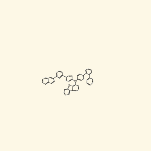 c1ccc(-c2ccccc2-c2ccc(N(c3ccc(-c4cccc(-c5ccc6ccccc6c5)c4)cc3)c3cccc4c3sc3ccccc34)cc2)cc1